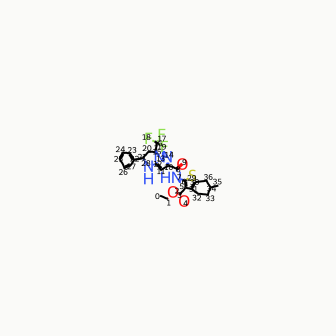 CCOC(=O)c1c(NC(=O)c2cc3n(n2)C(C(F)(F)F)CC(c2ccccc2)N3)sc2c1CCC(C)C2